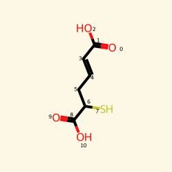 O=C(O)C=CCC(S)C(=O)O